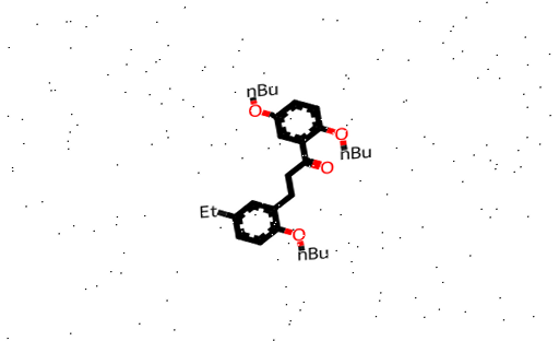 CCCCOc1ccc(OCCCC)c(C(=O)CCc2cc(CC)ccc2OCCCC)c1